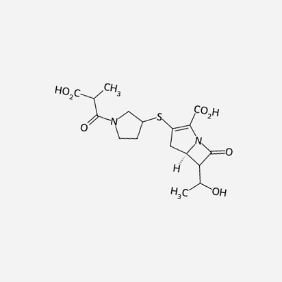 CC(C(=O)O)C(=O)N1CCC(SC2=C(C(=O)O)N3C(=O)C(C(C)O)[C@H]3C2)C1